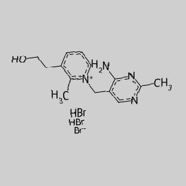 Br.Br.Cc1ncc(C[n+]2cccc(CCO)c2C)c(N)n1.[Br-]